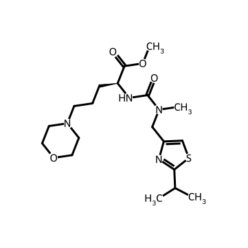 COC(=O)[C@H](CCCN1CCOCC1)NC(=O)N(C)Cc1csc(C(C)C)n1